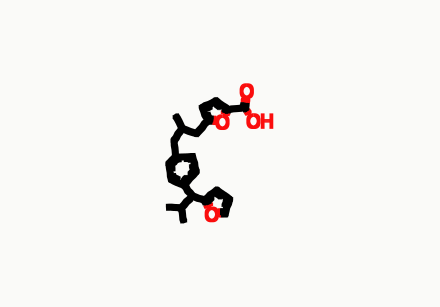 CC(Cc1ccc(C(c2ccco2)C(C)C)cc1)Cc1ccc(C(=O)O)o1